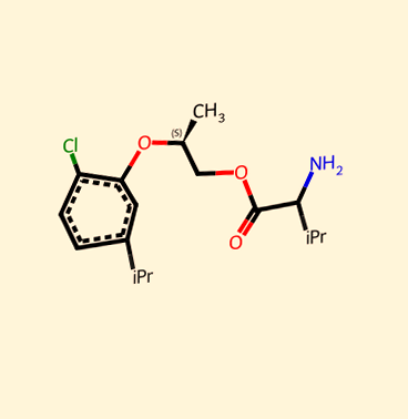 CC(C)c1ccc(Cl)c(O[C@@H](C)COC(=O)C(N)C(C)C)c1